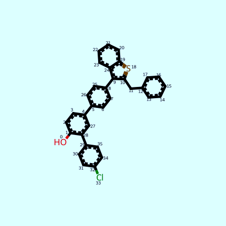 Oc1ccc(-c2ccc(-c3c(Cc4ccccc4)sc4ccccc34)cc2)cc1-c1ccc(Cl)cc1